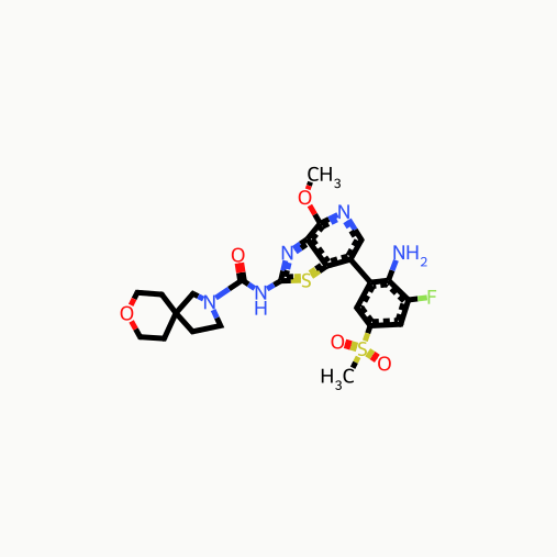 COc1ncc(-c2cc(S(C)(=O)=O)cc(F)c2N)c2sc(NC(=O)N3CCC4(CCOCC4)C3)nc12